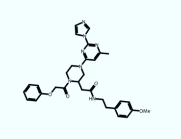 COc1ccc(CCNC(=O)CC2CN(c3cc(C)nc(-n4ccnc4)n3)CCN2C(=O)COc2ccccc2)cc1